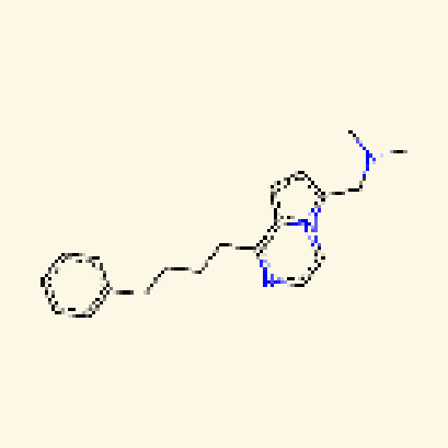 CN(C)Cc1ccc2c(CCCCc3ccccc3)nccn12